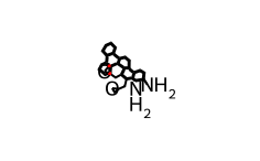 Nc1ccc2c(c1N)c(CC1CO1)c(CC1CO1)c1c2ccc2c3ccccc3c3ccccc3c21